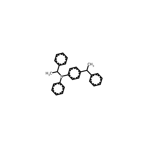 CC(c1ccccc1)c1ccc(N(c2ccccc2)C(C)c2ccccc2)cc1